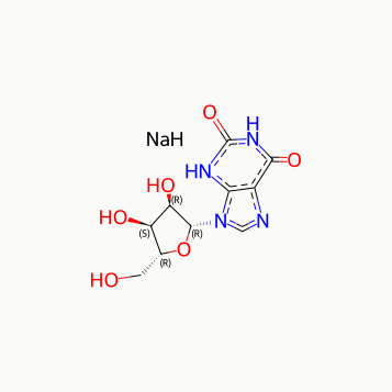 O=c1[nH]c(=O)c2ncn([C@@H]3O[C@H](CO)[C@@H](O)[C@H]3O)c2[nH]1.[NaH]